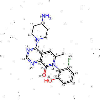 Cc1cc2c(N3CCC(N)CC3)ncnc2c(=O)n1-c1c(O)cccc1F